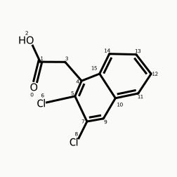 O=C(O)Cc1c(Cl)c(Cl)cc2ccccc12